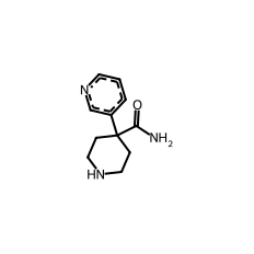 NC(=O)C1(c2cccnc2)CCNCC1